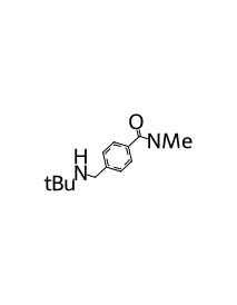 CNC(=O)c1ccc(CNC(C)(C)C)cc1